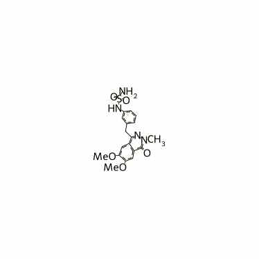 COc1cc2c(Cc3cccc(NS(N)(=O)=O)c3)nn(C)c(=O)c2cc1OC